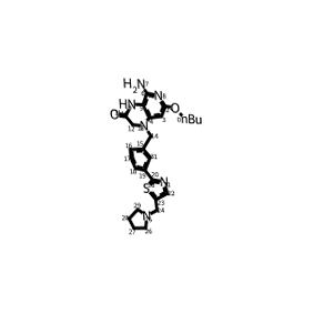 CCCCOc1cc2c(c(N)n1)NC(=O)CN2Cc1cccc(-c2ncc(CN3CCCC3)s2)c1